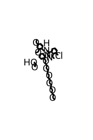 COCCOCCOCCOCCOCCOc1ccccc1N1N=C(C)c2c(Cl)cccc2C1NCc1ccc(OC)cc1OC.O=CO